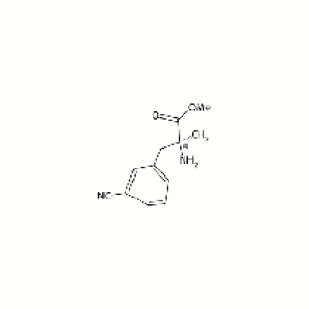 COC(=O)[C@@](C)(N)Cc1cccc(C#N)c1